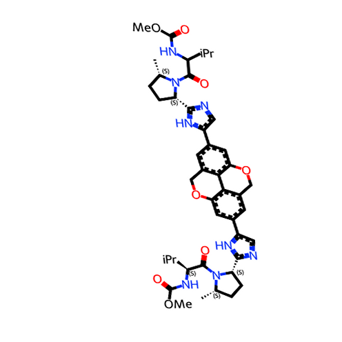 COC(=O)NC(C(=O)N1[C@@H](C)CC[C@H]1c1ncc(-c2cc3c4c(c2)OCc2cc(-c5cnc([C@@H]6CC[C@H](C)N6C(=O)[C@@H](NC(=O)OC)C(C)C)[nH]5)cc(c2-4)OC3)[nH]1)C(C)C